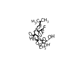 CO[C@H]1C(O)[C@@H](CO)O[C@H]1n1cc(CN(CC=C(C)C)C(=O)C(F)(F)F)c(=O)[nH]c1=O